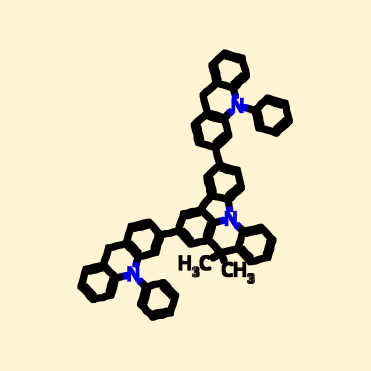 CC1(C)c2ccccc2-n2c3ccc(-c4ccc5c(c4)N(c4ccccc4)c4ccccc4C5)cc3c3cc(-c4ccc5c(c4)N(c4ccccc4)c4ccccc4C5)cc1c32